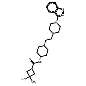 CC1(O)CN(C(=O)N[C@H]2CC[C@H](CCN3CCN(c4nsc5ccccc45)CC3)CC2)C1